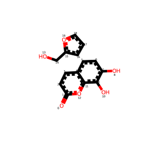 O=c1ccc2ccc(O)c(O)c2o1.OCc1ccco1